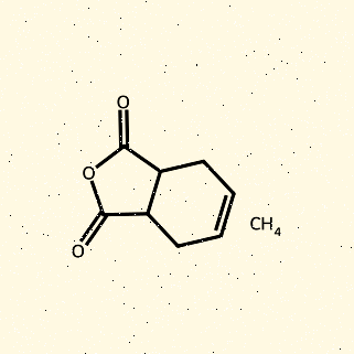 C.O=C1OC(=O)C2CC=CCC12